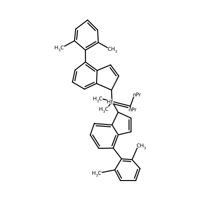 CCC[C](CCC)=[Hf]([CH3])([CH3])([CH]1C=Cc2c(-c3c(C)cccc3C)cccc21)[CH]1C=Cc2c(-c3c(C)cccc3C)cccc21